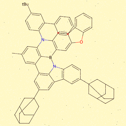 Cc1cc2c3c(c1)N(c1ccc(C(C)(C)C)cc1-c1ccccc1)c1cc4c(cc1B3n1c3ccc(C56CC7CC(CC(C7)C5)C6)cc3c3cc(C56CC7CC(CC(C7)C5)C6)cc-2c31)oc1ccccc14